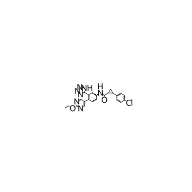 CCOc1ncc(-c2ccc(NC(=O)C3CC3c3ccc(Cl)cc3)cc2-c2nnn[nH]2)cn1